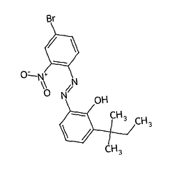 CCC(C)(C)c1cccc(N=Nc2ccc(Br)cc2[N+](=O)[O-])c1O